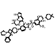 CC(C)c1ccccc1[C@@H]1CCCN1C1CC2(CCN(c3ccc(C(=O)NS(=O)(=O)c4cc5c(c([N+](=O)[O-])c4)N[C@@H](C4CCC(C)(C)CC4)CO5)c(Oc4cc5cc[nH]c5nc4OC[C@@H](C)O)c3)CC2)C1